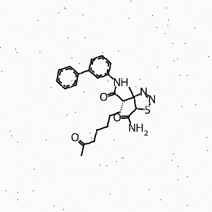 CC(=O)CCCCC[C@H](C(=O)Nc1cccc(-c2ccccc2)c1)C1(C)N=NSC1C(N)=O